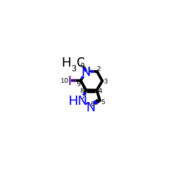 CN1CCc2cn[nH]c2C1I